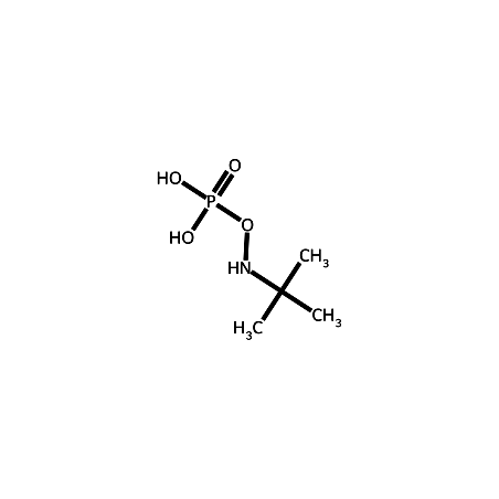 CC(C)(C)NOP(=O)(O)O